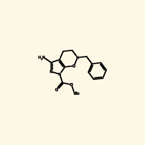 CC(C)(C)OC(=O)n1nc(N)c2c1ON(Cc1ccccc1)CC2